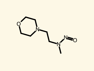 CN(CCN1CCOCC1)N=O